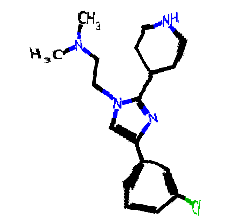 CN(C)CCn1cc(-c2cccc(Cl)c2)nc1C1CCNCC1